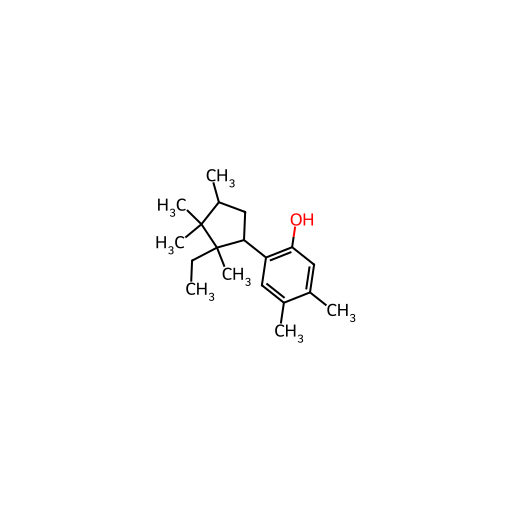 CCC1(C)C(c2cc(C)c(C)cc2O)CC(C)C1(C)C